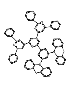 c1ccc(-c2cc(-c3cc(-c4cc(N5c6ccccc6Sc6ccccc65)cc(N5c6ccccc6Sc6ccccc65)c4)cc(-c4cc(-c5ccccc5)nc(-c5ccccc5)n4)c3)nc(-c3ccccc3)n2)cc1